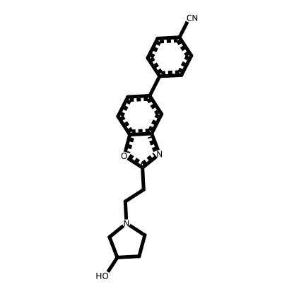 N#Cc1ccc(-c2ccc3oc(CCN4CCC(O)C4)nc3c2)cc1